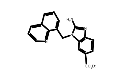 CCOC(=O)c1ccc2nc(N)n(Cc3cccc4cccnc34)c2c1